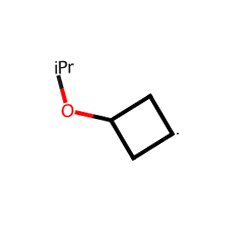 CC(C)OC1C[CH]C1